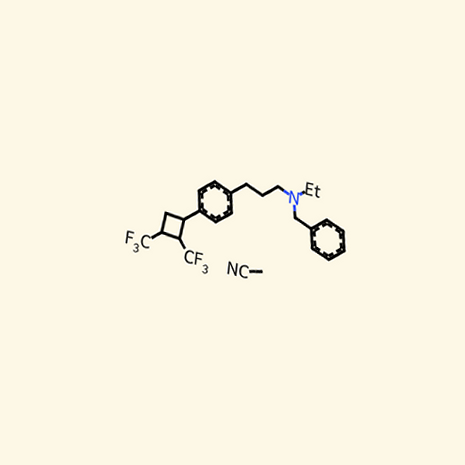 CC#N.CCN(CCCc1ccc(C2CC(C(F)(F)F)C2C(F)(F)F)cc1)Cc1ccccc1